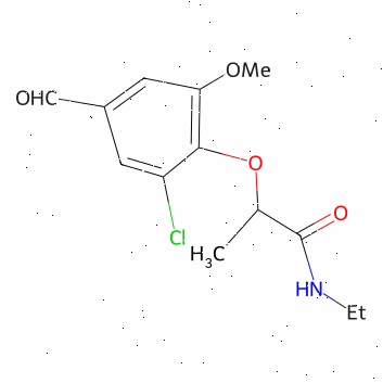 CCNC(=O)C(C)Oc1c(Cl)cc(C=O)cc1OC